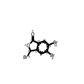 O=C1OC(Br)c2cc(Br)c(Br)cc21